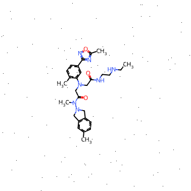 CCNCCNC(=O)CN(CC(=O)N(C)N1Cc2ccc(C)cc2C1)c1cc(-c2noc(C)n2)ccc1C